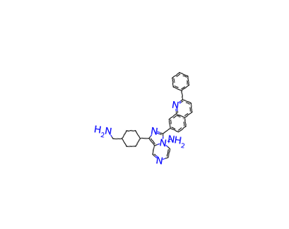 NCC1CCC(C2=C3C=NC=C[N+]3(N)C(c3ccc4ccc(-c5ccccc5)nc4c3)=N2)CC1